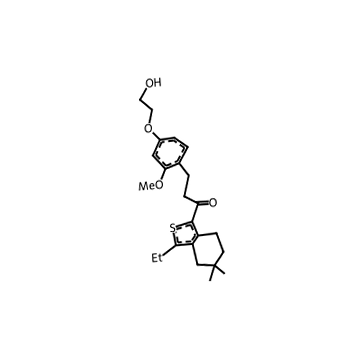 CCc1sc(C(=O)CCc2ccc(OCCO)cc2OC)c2c1CC(C)(C)CC2